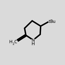 C=C1CCC(C(C)(C)C)CN1